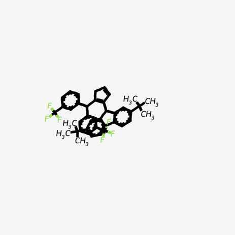 CC(C)(C)c1ccc2c(c1)C(C1=C(C(c3cccc(C(F)(F)F)c3)c3cccc(C(F)(F)F)c3)CC=C1)c1cc(C(C)(C)C)ccc1-2